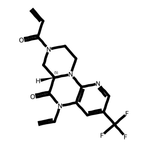 C=CC(=O)N1CCN2c3ncc(C(F)(F)F)cc3N(C=C)C(=O)[C@@H]2C1